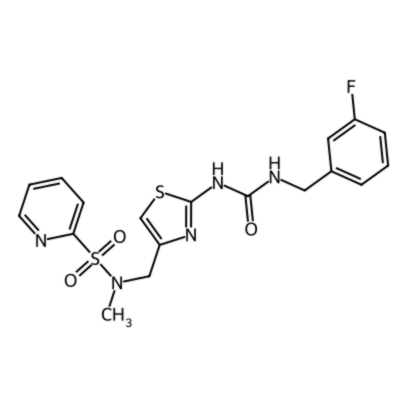 CN(Cc1csc(NC(=O)NCc2cccc(F)c2)n1)S(=O)(=O)c1ccccn1